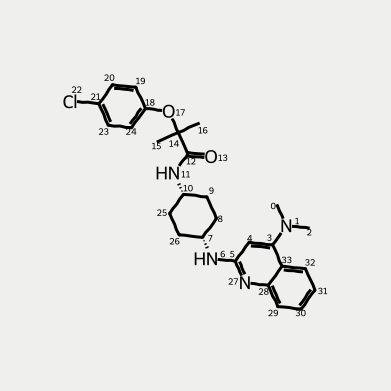 CN(C)c1cc(N[C@H]2CC[C@@H](NC(=O)C(C)(C)Oc3ccc(Cl)cc3)CC2)nc2ccccc12